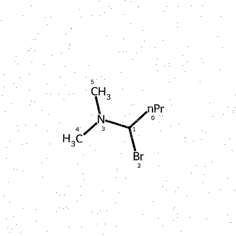 CCCC(Br)N(C)C